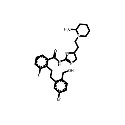 CC1CCCCN1CCC1CN=C(NC(=O)c2cccc(F)c2CCc2cc(Br)ccc2CO)N1